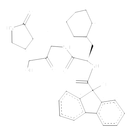 O=C1NCC[C@H]1C[C@H](NC(=O)[C@@H](CC1CCCCC1)NC(=O)C1(O)c2ccccc2-c2ccccc21)C(=O)CO